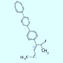 C/C=C\C=C(\c1ccc(-c2ccc(-c3ccccc3)cc2)cc1)C(C)I